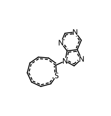 c1cccsc(-n2cnc3cncnc32)ccc1